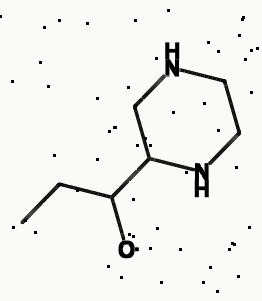 CCC([O])C1CNCCN1